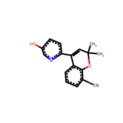 CC1(C)C=C(c2ccc(O)cn2)c2cccc(C#N)c2O1